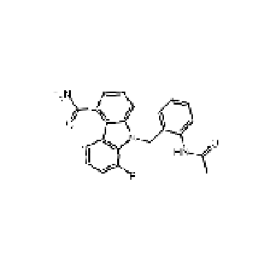 CC(=O)Nc1ccccc1Cn1c2cccc(C(N)=O)c2c2[c]ccc(F)c21